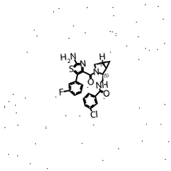 Nc1nc(C(=O)N2C[C@@H]3CC3[C@H]2CNC(=O)c2cccc(Cl)c2)c(-c2cccc(F)c2)s1